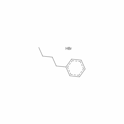 Br.CCCCc1ccccc1